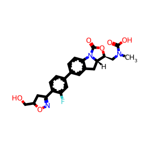 CN(C[C@@H]1OC(=O)N2c3ccc(-c4ccc(C5=NOC(CO)C5)c(F)c4)cc3C[C@@H]12)C(=O)O